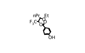 CCCC(OCC)C(OC(=O)c1ccc(O)cc1)C(F)(F)F